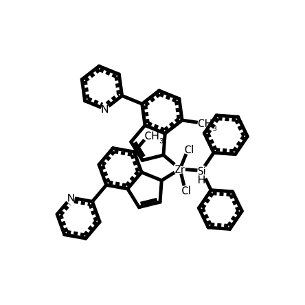 Cc1ccc(-c2ccccn2)c2c1[CH]([Zr]([Cl])([Cl])([CH]1C=Cc3c(-c4ccccn4)ccc(C)c31)[SiH](c1ccccc1)c1ccccc1)C=C2